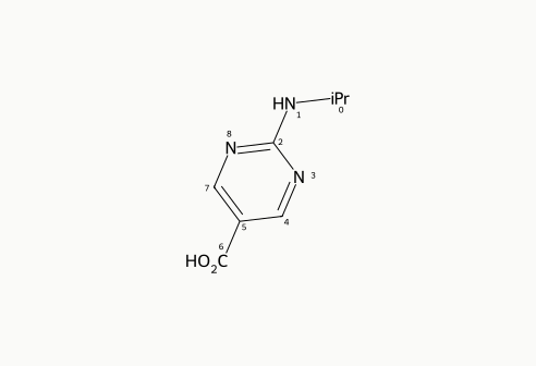 CC(C)Nc1ncc(C(=O)O)cn1